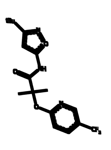 CC(C)(Oc1ccc(C(F)(F)F)cn1)C(=O)Nc1cc(C(C)(C)C)no1